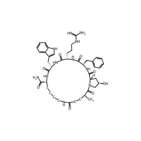 CC1CCC(=O)NCCCC[C@@H](C(N)=O)NC(=O)[C@H](Cc2c[nH]c3ccccc23)NC(=O)[C@H](CCCNC(=N)N)NC(=O)[C@@H](Cc2ccccc2)NC(=O)[C@@H]2C[C@@H](O)CN2C1=O